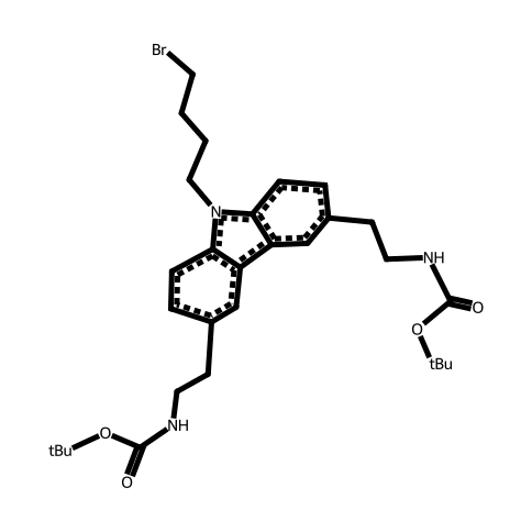 CC(C)(C)OC(=O)NCCc1ccc2c(c1)c1cc(CCNC(=O)OC(C)(C)C)ccc1n2CCCCBr